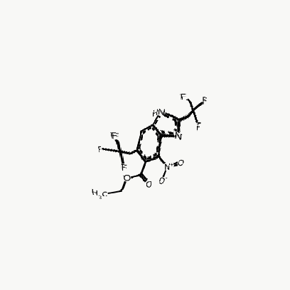 CCOC(=O)c1c(C(F)(F)F)cc2[nH]c(C(F)(F)F)nc2c1[N+](=O)[O-]